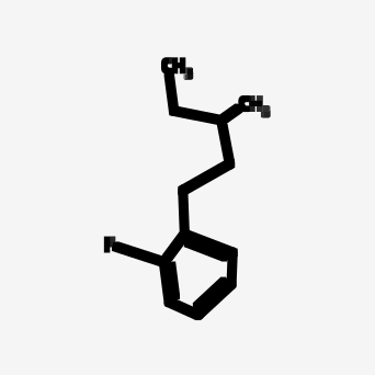 CCC(C)CCc1ccccc1F